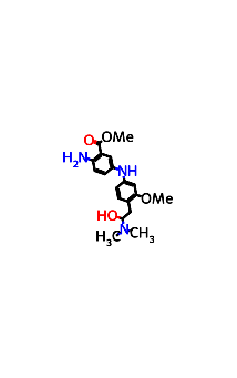 COC(=O)c1cc(Nc2ccc(CC(O)N(C)C)c(OC)c2)ccc1N